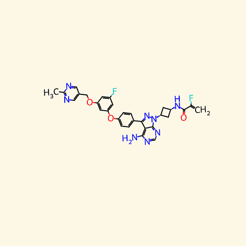 C=C(F)C(=O)N[C@H]1C[C@@H](n2nc(-c3ccc(Oc4cc(F)cc(OCc5cnc(C)nc5)c4)cc3)c3c(N)ncnc32)C1